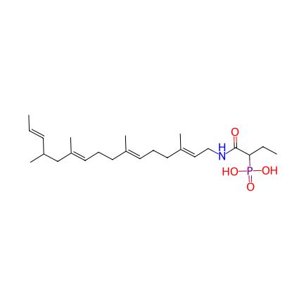 CC=CC(C)C/C(C)=C/CC/C(C)=C/CC/C(C)=C/CNC(=O)C(CC)P(=O)(O)O